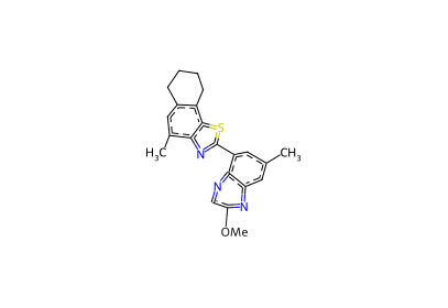 COc1cnc2c(-c3nc4c(C)cc5c(c4s3)CCCC5)cc(C)cc2n1